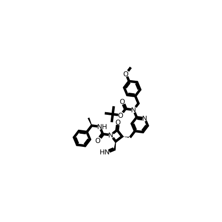 COc1ccc(CN(C(=O)OC(C)(C)C)c2cc(C[C@H]3C(=O)N(C(=O)N[C@H](C)c4ccccc4)[C@@H]3C=N)ccn2)cc1